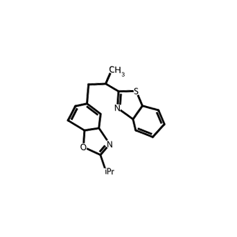 CC(C)C1=NC2C=C(CC(C)C3=NC4C=CC=CC4S3)C=CC2O1